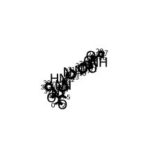 CC(=O)c1c(C)c2cnc(Nc3ccc(N4CCN(S(=O)(=O)NC(=O)C5CCC5)CC4)cn3)nc2n(C2CCCC2)c1=O